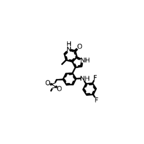 Cc1c[nH]c(=O)c2[nH]cc(-c3cc(CS(C)(=O)=O)ccc3Nc3ccc(F)cc3F)c12